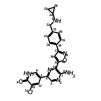 Nc1ncc(-c2c[nH]c(=O)c(Cl)c2)nc1-c1cc(-c2ccc(CNC3CC3)cc2)no1